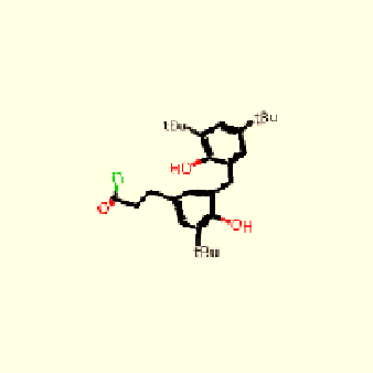 CC(C)(C)c1cc(Cc2cc(CCC(=O)Cl)cc(C(C)(C)C)c2O)c(O)c(C(C)(C)C)c1